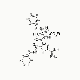 CCOC(=O)N[C@@H](C(=O)N1C[C@H](C(=N)N)C[C@H]1C(=O)NCC1CCCCC1)C(C)(C)SCc1ccccc1